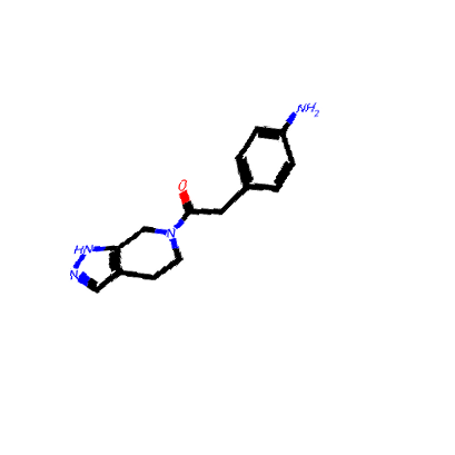 Nc1ccc(CC(=O)N2CCc3cn[nH]c3C2)cc1